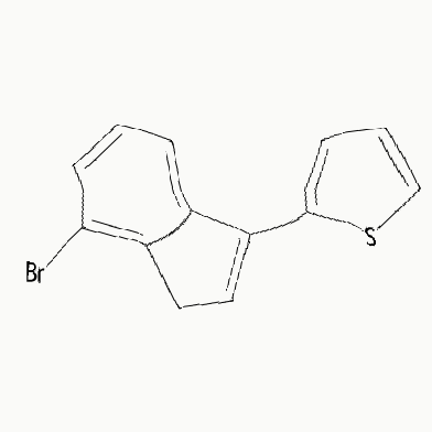 Brc1cccc2c1CC=C2c1cccs1